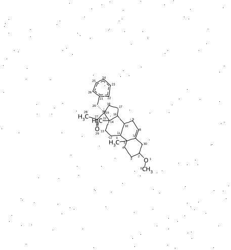 COC1CCC2(C)C(=CCC3C2CCC2(C)C3CC[C@]2(Cc2ccccc2)C(C)=O)C1